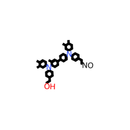 CC1=CCC(N(C2CCC(CCO)CC2)C2CCC(C3CC=C(N(C4CC=C(CCN=O)CC4)C4CCC(C)C(C)C4)CC3)C=C2C)CC1C